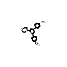 COc1ccc(C(/C=C/c2ccc(C(F)(F)F)cc2)=C/C(=O)N2CCOCC2)cc1